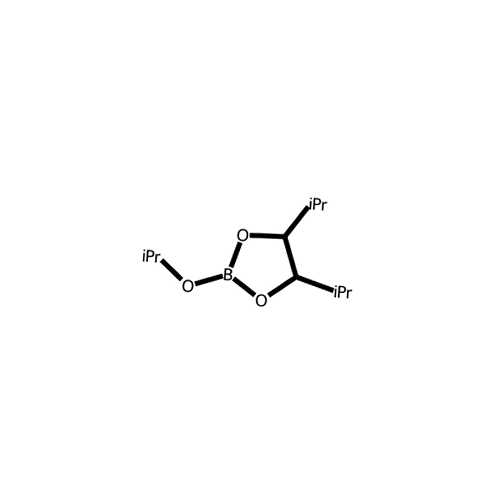 CC(C)OB1OC(C(C)C)C(C(C)C)O1